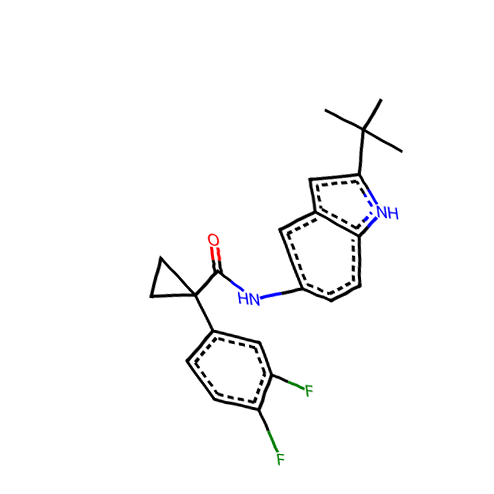 CC(C)(C)c1cc2cc(NC(=O)C3(c4ccc(F)c(F)c4)CC3)ccc2[nH]1